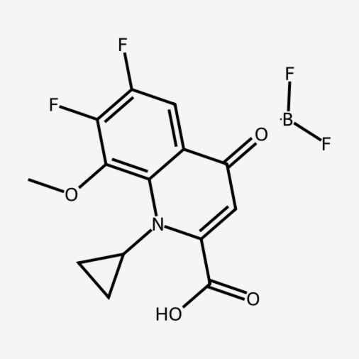 COc1c(F)c(F)cc2c(=O)cc(C(=O)O)n(C3CC3)c12.F[B]F